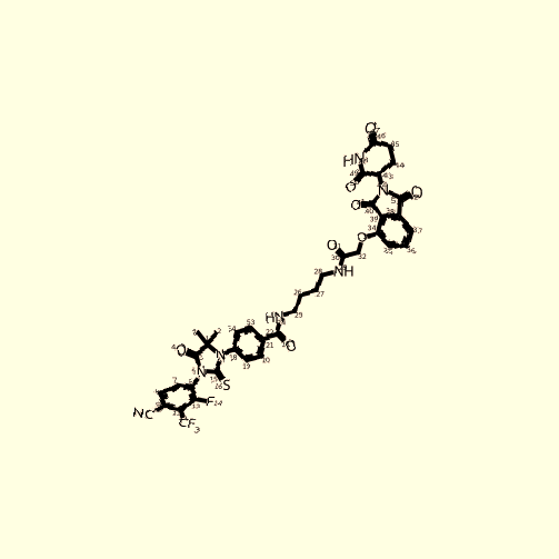 CC1(C)C(=O)N(c2ccc(C#N)c(C(F)(F)F)c2F)C(=S)N1c1ccc(C(=O)NCCCCNC(=O)COc2cccc3c2C(=O)N(C2CCC(=O)NC2=O)C3=O)cc1